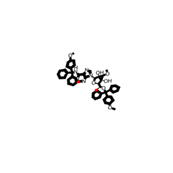 COc1ccc(C(Nc2ncnc3c2ncn3[C@@H]2O[C@H]([C@H](C)OC(c3ccccc3)(c3ccccc3)c3ccc(OC)cc3)[C@]3(O)C(OC)[C@]23O)(c2ccccc2)c2ccccc2)cc1